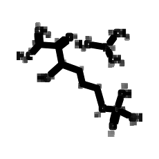 C=C(C)C(=O)C(O)CCCOP(=O)(O)O.CN(C)C